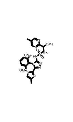 COc1cccc(OC)c1-n1c(NS(=O)(=O)[C@@H](C)C(OC)c2ncc(C)cn2)nnc1-c1nc(C)cs1